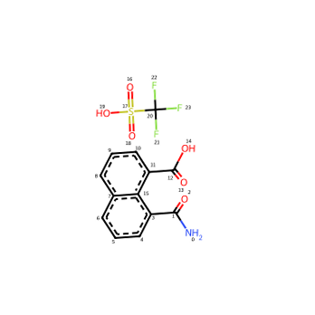 NC(=O)c1cccc2cccc(C(=O)O)c12.O=S(=O)(O)C(F)(F)F